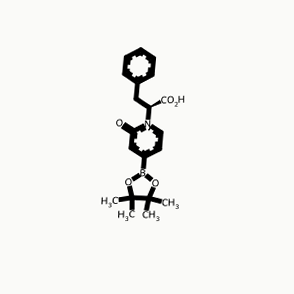 CC1(C)OB(c2ccn([C@@H](Cc3ccccc3)C(=O)O)c(=O)c2)OC1(C)C